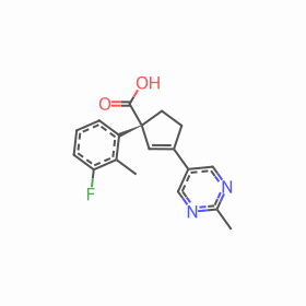 Cc1ncc(C2=C[C@@](C(=O)O)(c3cccc(F)c3C)CC2)cn1